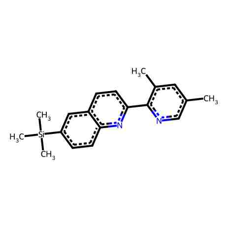 Cc1cnc(-c2ccc3cc([Si](C)(C)C)ccc3n2)c(C)c1